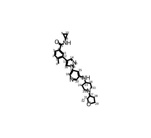 Cc1ccc(C(=O)NC2CC2)cc1-c1cnn(-c2cncc(NC3CCN(C4CCO[C@@H]4C)CC3)c2)c1